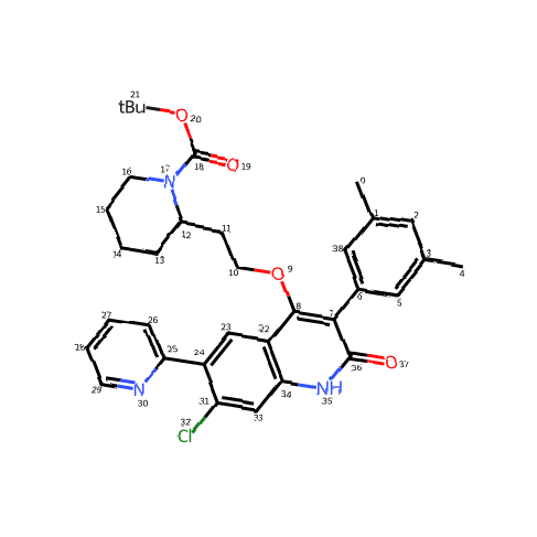 Cc1cc(C)cc(-c2c(OCCC3CCCCN3C(=O)OC(C)(C)C)c3cc(-c4ccccn4)c(Cl)cc3[nH]c2=O)c1